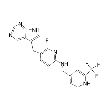 Fc1nc(NCC2=CCNC(C(F)(F)F)=C2)ccc1Cc1c[nH]c2ncncc12